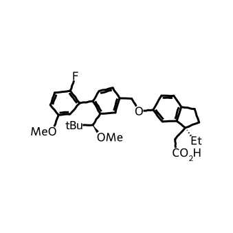 CC[C@@]1(CC(=O)O)CCc2ccc(OCc3ccc(-c4cc(OC)ccc4F)c([C@@H](OC)C(C)(C)C)c3)cc21